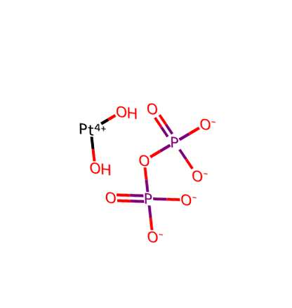 O=P([O-])([O-])OP(=O)([O-])[O-].[OH][Pt+4][OH]